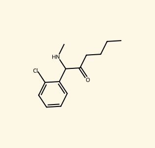 CCCCC(=O)C(NC)c1ccccc1Cl